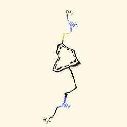 CNCCc1ccc(SNC)cc1